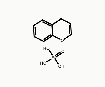 C1=COc2ccccc2C1.O=[As](O)(O)O